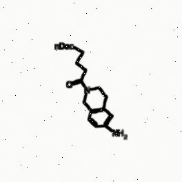 CCCCCCCCCCCCCC(=O)N1CCc2cc(N)ccc2C1